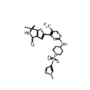 Cn1cc(S(=O)(=O)N2CCC(Nc3ncc(C(F)(F)F)c(-c4cc5c(s4)C(C)(C)NC5=O)n3)CC2)cn1